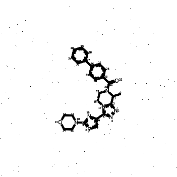 CC1c2nnc(-c3csc(N4CCOCC4)n3)n2CCN1C(=O)c1ccc(-c2ccccc2)cc1